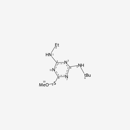 CCNc1nc(NC(C)(C)C)nc(SOC)n1